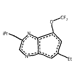 CCc1cc(OC(F)(F)F)c2nc(C(C)C)cnc2c1